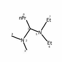 CCCC(N(C)C)N(CC)CC